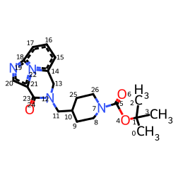 CC(C)(C)OC(=O)N1CCC(CN2Cc3cccc4ncc(n34)C2=O)CC1